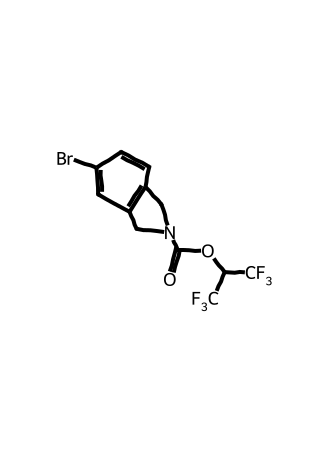 O=C(OC(C(F)(F)F)C(F)(F)F)N1Cc2ccc(Br)cc2C1